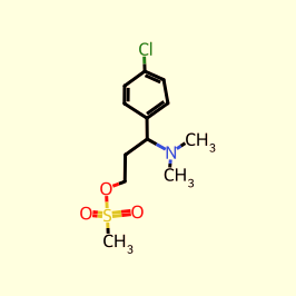 CN(C)C(CCOS(C)(=O)=O)c1ccc(Cl)cc1